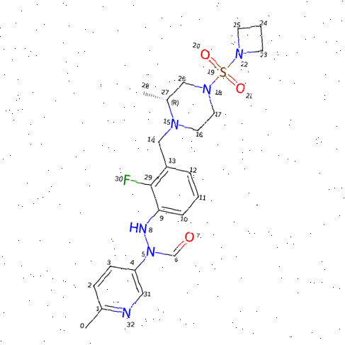 Cc1ccc(N(C=O)Nc2cccc(CN3CCN(S(=O)(=O)N4CCC4)C[C@H]3C)c2F)cn1